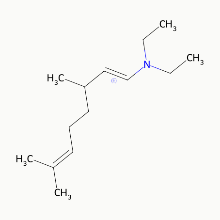 CCN(/C=C/C(C)CCC=C(C)C)CC